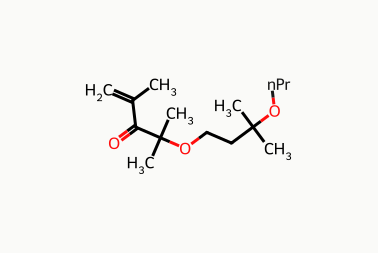 C=C(C)C(=O)C(C)(C)OCCC(C)(C)OCCC